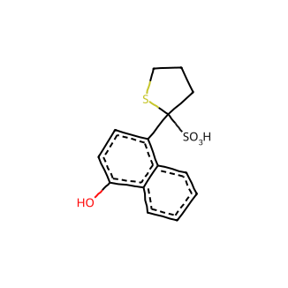 O=S(=O)(O)C1(c2ccc(O)c3ccccc23)CCCS1